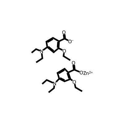 CCOc1cc(N(CC)CC)ccc1C(=O)[O-].CCOc1cc(N(CC)CC)ccc1C(=O)[O-].[Zn+2]